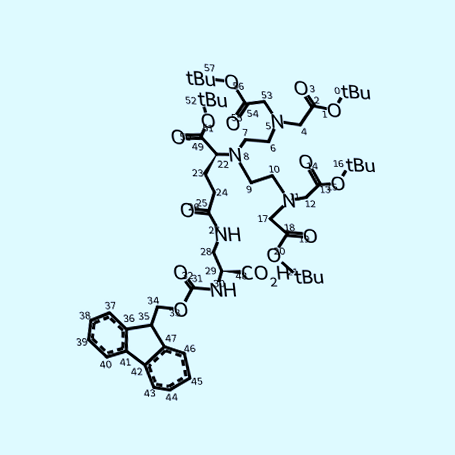 CC(C)(C)OC(=O)CN(CCN(CCN(CC(=O)OC(C)(C)C)CC(=O)OC(C)(C)C)[C@@H](CCC(=O)NC[C@H](NC(=O)OCC1c2ccccc2-c2ccccc21)C(=O)O)C(=O)OC(C)(C)C)CC(=O)OC(C)(C)C